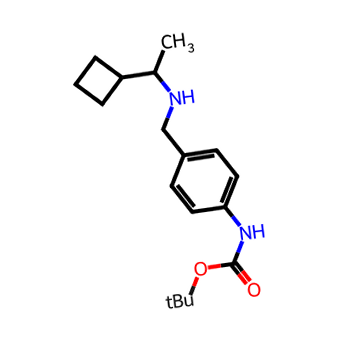 CC(NCc1ccc(NC(=O)OC(C)(C)C)cc1)C1CCC1